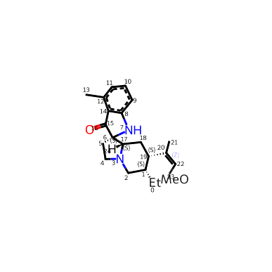 CC[C@@H]1CN2CC[C@]3(Nc4cccc(C)c4C3=O)[C@@H]2C[C@@H]1/C(C)=C\OC